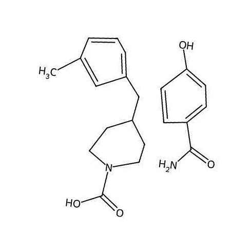 Cc1cccc(CC2CCN(C(=O)O)CC2)c1.NC(=O)c1ccc(O)cc1